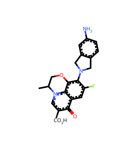 CC1COc2c(N3Cc4ccc(N)cc4C3)c(F)cc3c(=O)c(C(=O)O)cn1c23